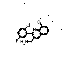 NCc1cc2cccc(Cl)c2nc1-c1cc(F)ccc1Cl